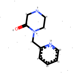 O=C1C[N]CCN1Cc1ccccn1